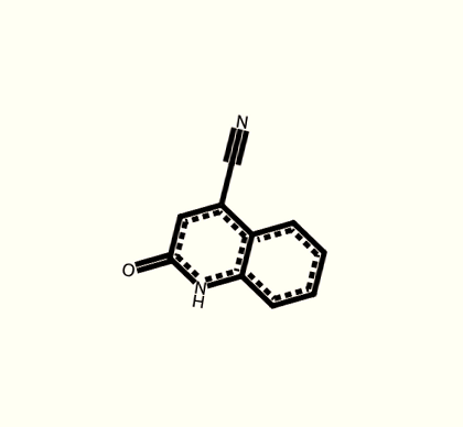 N#Cc1cc(=O)[nH]c2ccccc12